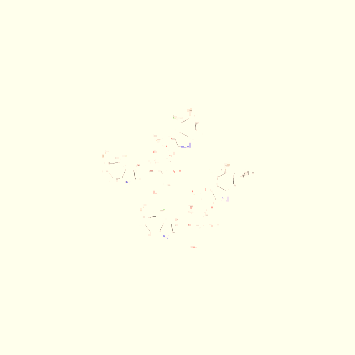 O=P([O-])(Oc1c[nH]c2ccc(Br)c(Cl)c12)O[C@@H]1[C@@H](Oc2c[nH]c3ccc(Br)c(Cl)c23)O[C@H](CO)[C@@H](O)[C@@H]1O.O=P([O-])(Oc1c[nH]c2ccc(Br)c(Cl)c12)O[C@@H]1[C@@H](Oc2c[nH]c3ccc(Br)c(Cl)c23)O[C@H](CO)[C@@H](O)[C@@H]1O.[Na+].[Na+]